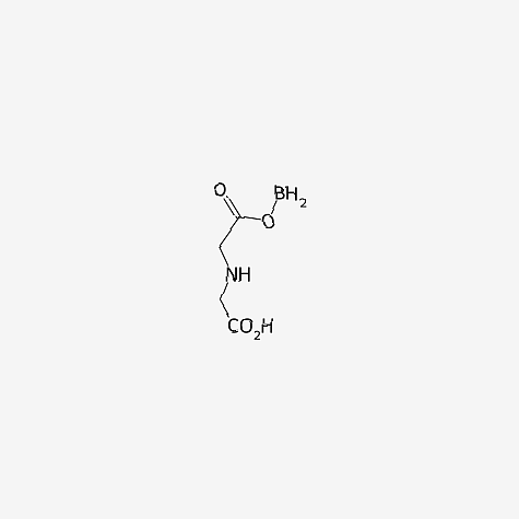 BOC(=O)CNCC(=O)O